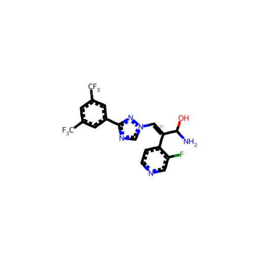 NC(O)/C(=C/n1cnc(-c2cc(C(F)(F)F)cc(C(F)(F)F)c2)n1)c1ccncc1F